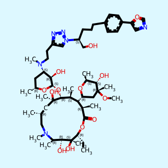 CC[C@H]1OC(=O)[C@H](C)C([C@H]2C[C@@](C)(OC)[C@@H](O)[C@H](C)O2)[C@H](C)[C@@H](O[C@@H]2O[C@H](C)C[C@H](N(C)CCc3cn([C@H](CO)CCCc4ccc(-c5cnco5)cc4)nn3)[C@H]2O)[C@](C)(O)C[C@@H](C)CN(C)[C@H](C)[C@@H](O)[C@]1(C)O